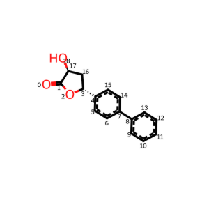 O=C1O[C@@H](c2ccc(-c3ccccc3)cc2)C[C@@H]1O